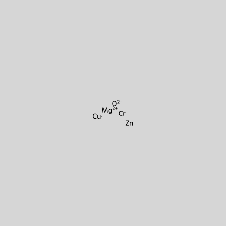 [Cr].[Cu].[Mg+2].[O-2].[Zn]